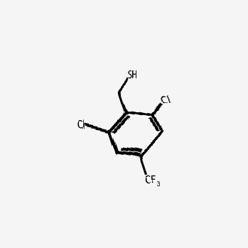 FC(F)(F)c1cc(Cl)c(CS)c(Cl)c1